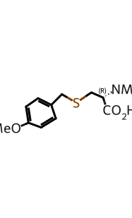 CN[C@@H](CSCc1ccc(OC)cc1)C(=O)O